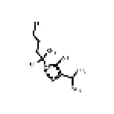 CCCCC(C)(C)n1nnc(C(C)C)c1O